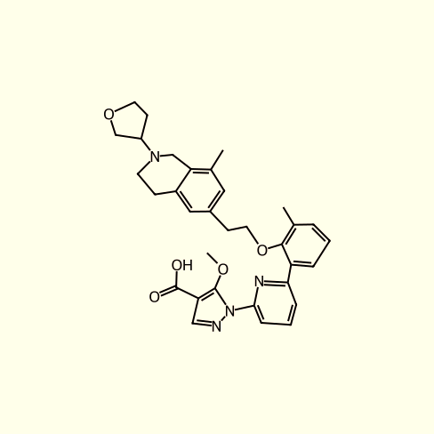 COc1c(C(=O)O)cnn1-c1cccc(-c2cccc(C)c2OCCc2cc(C)c3c(c2)CCN(C2CCOC2)C3)n1